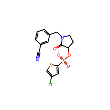 N#Cc1cccc(CN2CCC(OS(=O)(=O)c3cc(Cl)cs3)C2=O)c1